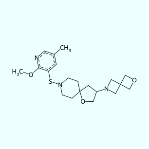 COc1ncc(C)cc1SN1CCC2(CC1)CC(N1CC3(COC3)C1)CO2